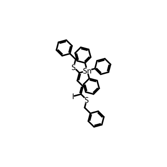 I/C(=C\C=[C](\SCc1ccccc1)[Sn]([c]1ccccc1)([c]1ccccc1)[c]1ccccc1)SCc1ccccc1